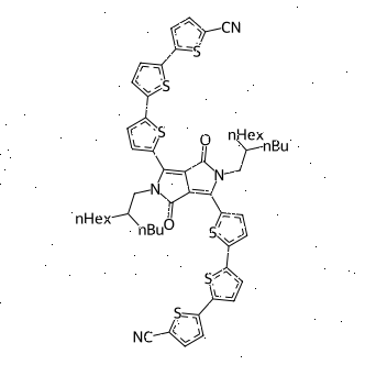 CCCCCCC(CCCC)CN1C(=O)C2=C(c3ccc(-c4ccc(-c5ccc(C#N)s5)s4)s3)N(CC(CCCC)CCCCCC)C(=O)C2=C1c1ccc(-c2ccc(-c3ccc(C#N)s3)s2)s1